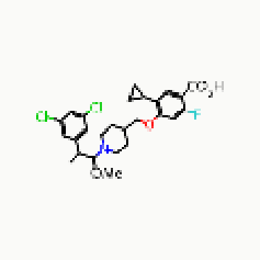 COC(C(C)c1cc(Cl)cc(Cl)c1)N1CCC(COc2cc(F)c(C(=O)O)cc2C2CC2)CC1